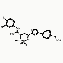 CN1[C@@H](C(O)Nc2ccc(F)c(Cl)c2)C[C@@H](c2ncc(-c3ccc(CC(=O)O)cc3)s2)NS1(=O)=O